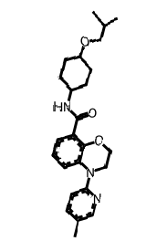 Cc1ccc(N2CCOc3c(C(=O)NC4CCC(OCC(C)C)CC4)cccc32)nc1